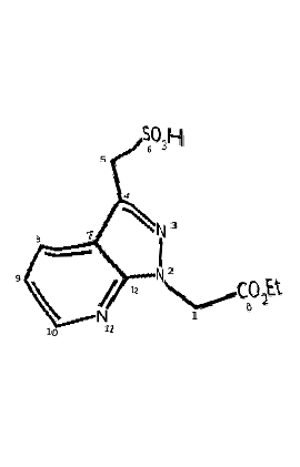 CCOC(=O)Cn1nc(CS(=O)(=O)O)c2cccnc21